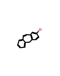 Brc1ccc2c(c1)C=Cc1ccccc1C2